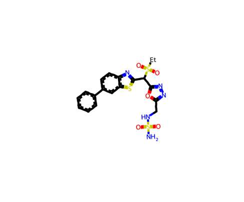 CCS(=O)(=O)C(c1nnc(CNS(N)(=O)=O)o1)c1nc2ccc(-c3ccccc3)cc2s1